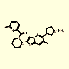 Cc1cccc(C(=O)N2CCCC[C@H]2c2cn3nc(C4CC[C@H](N)C4)c(C)cc3n2)n1